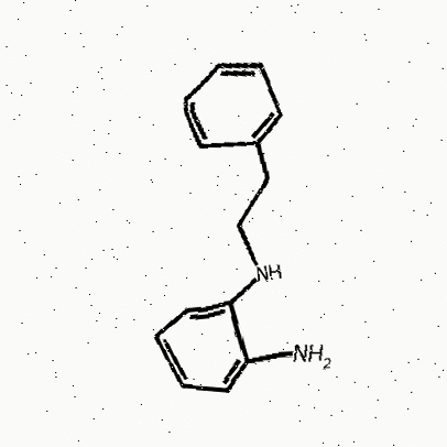 Nc1ccccc1NCCc1ccccc1